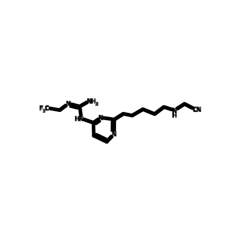 N#CCNCCCCCc1nccc(N/C(N)=N\CC(F)(F)F)n1